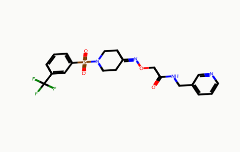 O=C(CON=C1CCN(S(=O)(=O)c2cccc(C(F)(F)F)c2)CC1)NCc1cccnc1